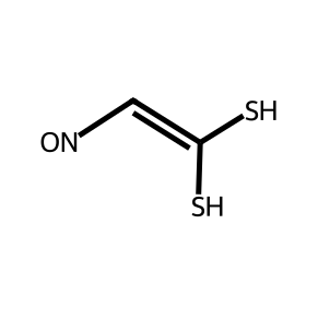 O=NC=C(S)S